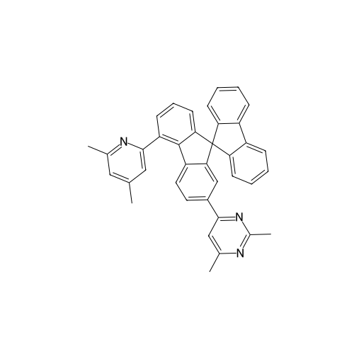 Cc1cc(C)nc(-c2cccc3c2-c2ccc(-c4cc(C)nc(C)n4)cc2C32c3ccccc3-c3ccccc32)c1